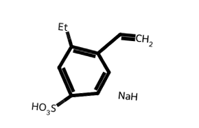 C=Cc1ccc(S(=O)(=O)O)cc1CC.[NaH]